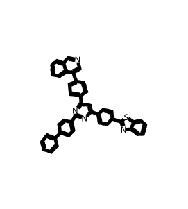 C1=CC(c2nc3ccccc3s2)CC=C1c1cc(-c2ccc(-c3cncc4ccccc34)cc2)nc(-c2ccc(-c3ccccc3)cc2)n1